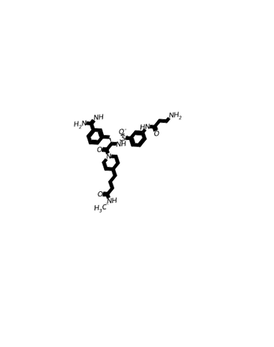 CNC(=O)CCCC1CCN(C(=O)[C@H](Cc2cccc(C(=N)N)c2)N[S+]([O-])c2cccc(NC(=O)CCN)c2)CC1